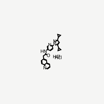 Cl.Cl.O=C(Cc1ccc2ncccc2c1)Nc1ccc(-n2nc(C3CC3)cc2C2CC2)nc1